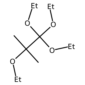 CCOC(C)(C)C(OCC)(OCC)OCC